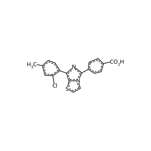 Cc1ccc(-c2nc(-c3ccc(C(=O)O)cc3)n3ccsc23)c(Cl)c1